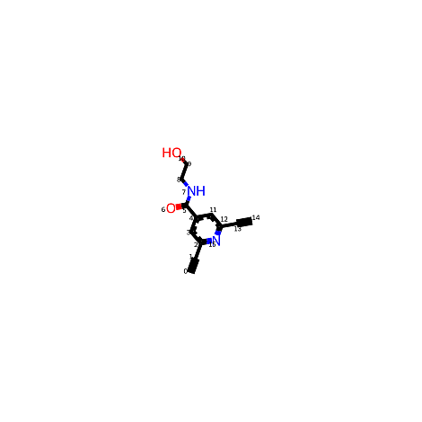 C#Cc1cc(C(=O)NCCO)cc(C#C)n1